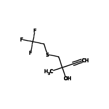 C#CC(C)(O)CSCC(F)(F)F